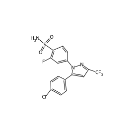 NS(=O)(=O)c1ccc(-n2nc(C(F)(F)F)cc2-c2ccc(Cl)cc2)cc1F